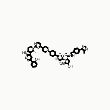 Cc1ncsc1-c1ccc(CNC(=O)[C@@H]2C[C@@H](O)CN2C(=O)[C@@H](NC(=O)C2CCC(N3CCC(c4ccnc(N5CCc6[nH]c7nnc(-c8ccccc8O)cc7c6[C@H]5C)n4)CC3)CC2)C(C)(C)C)cc1